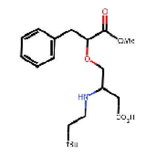 COC(=O)C(Cc1ccccc1)OCC(CC(=O)O)NCCC(C)(C)C